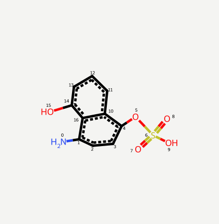 Nc1ccc(OS(=O)(=O)O)c2cccc(O)c12